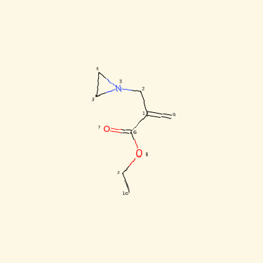 C=C(CN1CC1)C(=O)OCC